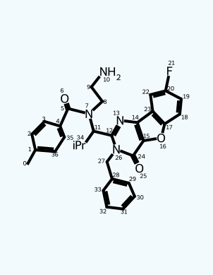 Cc1ccc(C(=O)N(CCN)C(c2nc3c(oc4ccc(F)cc43)c(=O)n2Cc2ccccc2)C(C)C)cc1